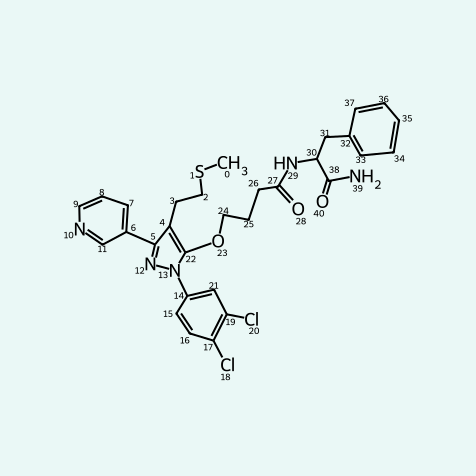 CSCCc1c(-c2cccnc2)nn(-c2ccc(Cl)c(Cl)c2)c1OCCCC(=O)NC(Cc1ccccc1)C(N)=O